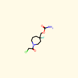 NC(=O)OCC1(F)CCCN(C(=O)CCl)CC1